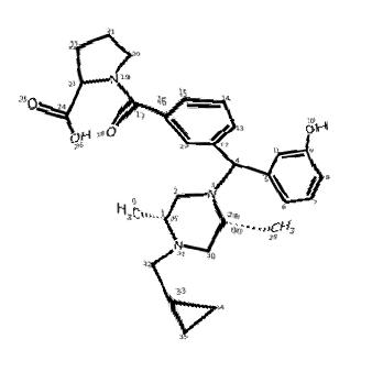 C[C@@H]1CN(C(c2cccc(O)c2)c2cccc(C(=O)N3CCCC3C(=O)O)c2)[C@H](C)CN1CC1CC1